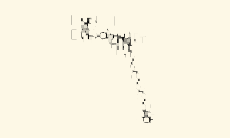 CCC(=O)N(CC)CCN(CC)C(=O)OCc1ccc(NC(=O)CNC(=O)C(NC(=O)CCOCCOCCOCCOCCOCCOCCN2C(=O)C=CC2=O)C(C)C)cc1